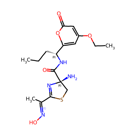 CCC[C@@H](NC(=O)[C@]1(N)CSC(/C(C)=N/O)=N1)c1cc(OCC)cc(=O)o1